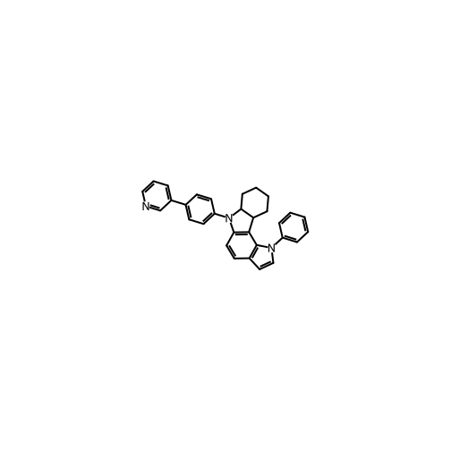 c1ccc(-n2ccc3ccc4c(c32)C2CCCCC2N4c2ccc(-c3cccnc3)cc2)cc1